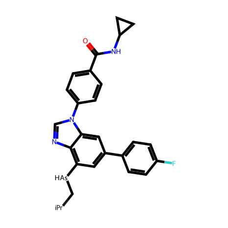 CC(C)C[AsH]c1cc(-c2ccc(F)cc2)cc2c1ncn2-c1ccc(C(=O)NC2CC2)cc1